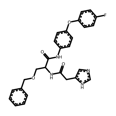 O=C(Cc1cnc[nH]1)NC(COCc1ccccc1)C(=O)Nc1ccc(Oc2ccc(F)cc2)cc1